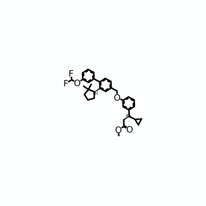 COC(=O)C[C@@H](c1cccc(OCc2ccc(-c3cccc(OC(F)F)c3)c([C@H]3CCCC3(C)C)c2)c1)C1CC1